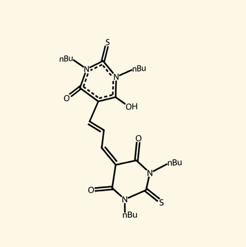 CCCCN1C(=O)C(=CC=Cc2c(O)n(CCCC)c(=S)n(CCCC)c2=O)C(=O)N(CCCC)C1=S